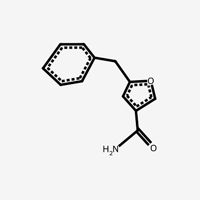 NC(=O)c1coc(Cc2ccccc2)c1